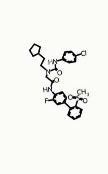 CS(=O)(=O)c1ccccc1-c1ccc(NC(=O)CN(CCC2CCCC2)C(=O)Nc2ccc(Cl)cc2)c(F)c1